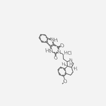 COc1cccc2c1CC[C@@H]1CNC(CCn3c(=O)[nH]c4c([nH]c5ccccc54)c3=O)[C@@H]21.Cl